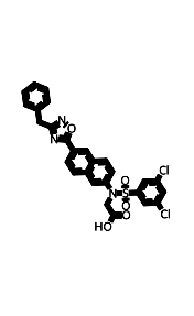 O=C(O)CN(c1ccc2cc(-c3nc(Cc4ccccc4)no3)ccc2c1)S(=O)(=O)c1cc(Cl)cc(Cl)c1